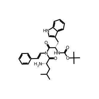 CC(C)C[C@H](N)C(=O)N(C=Cc1ccccc1)C(=O)[C@H](Cc1c[nH]c2ccccc12)NC(=O)OC(C)(C)C